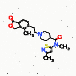 Cc1cc(N(C)C(=O)C2CCN(CCc3ccc4c(c3C)COC4=O)CC2)sn1